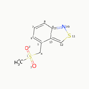 CS(=O)(=O)Cc1cccc2nscc12